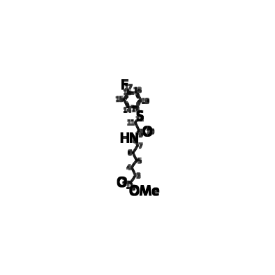 COC(=O)CCCCCNC(=O)CSc1ccc(F)cc1